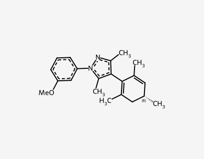 COc1cccc(-n2nc(C)c(C3=C(C)C[C@@H](C)C=C3C)c2C)c1